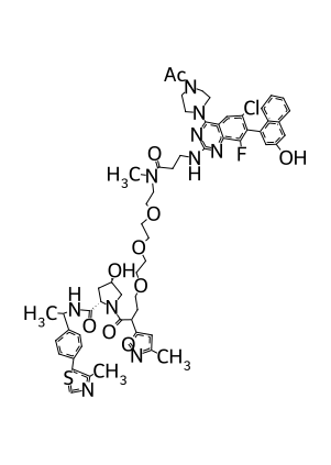 CC(=O)N1CCN(c2nc(NCCC(=O)N(C)CCOCCOCCOCCC(C(=O)N3C[C@H](O)C[C@H]3C(=O)NC(C)c3ccc(-c4scnc4C)cc3)c3cc(C)no3)nc3c(F)c(-c4cc(O)cc5ccccc45)c(Cl)cc23)CC1